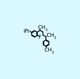 Cc1ccc([C@@H](C)CCC(C)c2cc(C(C)C)ccc2F)cc1